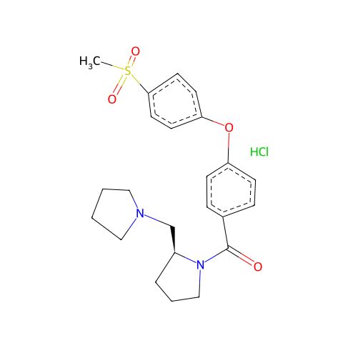 CS(=O)(=O)c1ccc(Oc2ccc(C(=O)N3CCC[C@H]3CN3CCCC3)cc2)cc1.Cl